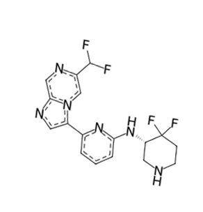 FC(F)c1cn2c(-c3cccc(N[C@H]4CNCCC4(F)F)n3)cnc2cn1